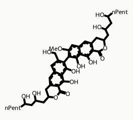 CCCCCC(O)CC(O)CC1Cc2cc3cc(CO)c(-c4c(OC)cc5cc6c(c(O)c5c4O)C(=O)OC(CC(O)CC(O)CCCCC)C6)c(O)c3c(O)c2C(=O)O1